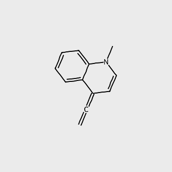 C=C=C1C=CN(C)c2ccccc21